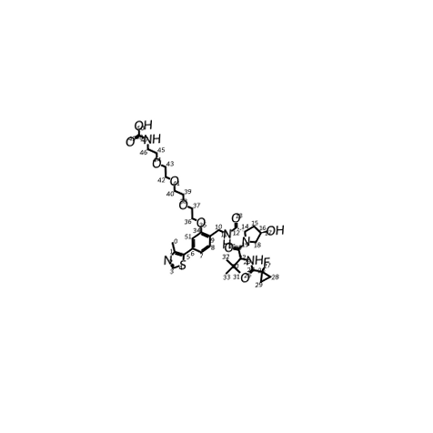 Cc1ncsc1-c1ccc(CNC(=O)[C@@H]2C[C@@H](O)CN2C(=O)C(NC(=O)C2(F)CC2)C(C)(C)C)c(OCCOCCOCCOCCNC(=O)O)c1